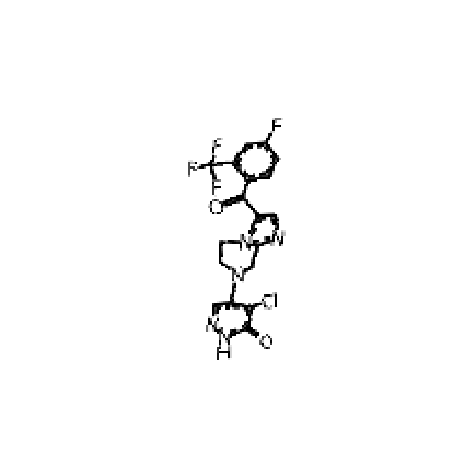 O=C(c1ccc(F)cc1C(F)(F)F)c1cnc2n1CCN(c1cn[nH]c(=O)c1Cl)C2